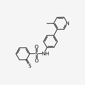 Cc1ccncc1-c1ccc(NS(=O)(=O)C2=CC=CCC2=S)cc1